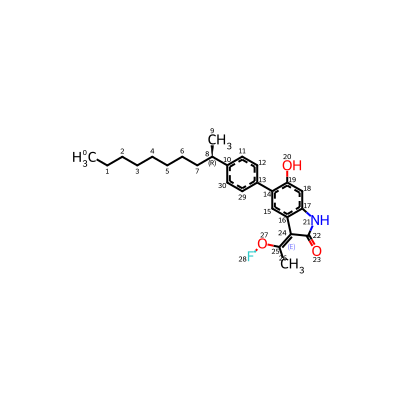 CCCCCCCC[C@@H](C)c1ccc(-c2cc3c(cc2O)NC(=O)/C3=C(\C)OF)cc1